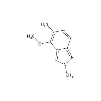 COc1c(N)ccc2nn(C)cc12